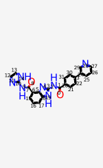 O=C(Nc1nc2c(C(=O)Nc3ncc[nH]3)cccc2[nH]1)c1ccc(-c2cccnc2)cc1